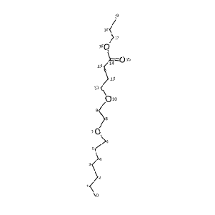 CCCCCCCOCCOCCCC(=O)OCCC